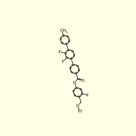 CCOCc1ccc(OC(=O)c2ccc(-c3ccc(-c4ccc(C)cc4)c(F)c3F)cc2)cc1F